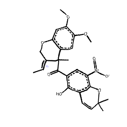 C/C=C1\COc2cc(OC)c(OC)cc2C1(C)C(=O)c1cc([N+](=O)[O-])c2c(c1O)C=CC(C)(C)O2